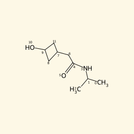 CC(C)NC(=O)CC1CC(O)C1